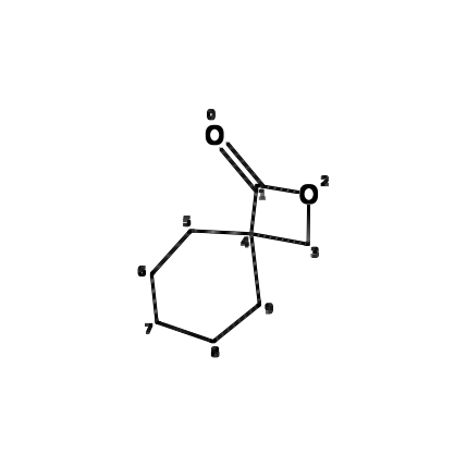 O=C1OCC12CCCCC2